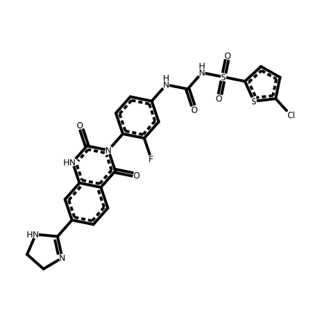 O=C(Nc1ccc(-n2c(=O)[nH]c3cc(C4=NCCN4)ccc3c2=O)c(F)c1)NS(=O)(=O)c1ccc(Cl)s1